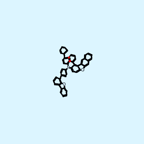 c1ccc(-c2ccc(N(c3ccc(-c4cccc5c4oc4ccccc45)cc3)c3ccc4oc5cc6ccccc6cc5c4c3-c3ccccc3)cc2)cc1